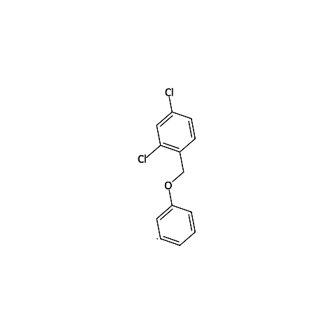 Clc1ccc(COc2c[c]ccc2)c(Cl)c1